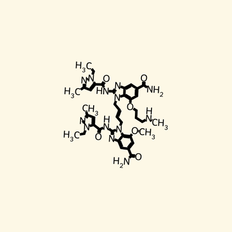 CCn1nc(C)cc1C(=O)Nc1nc2cc(C(N)=O)cc(OC)c2n1CC=CCn1c(NC(=O)c2cc(C)nn2CC)nc2cc(C(N)=O)cc(OCCCNC)c21